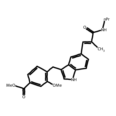 CCCNC(=O)/C(C)=C/c1ccc2[nH]cc(Cc3ccc(C(=O)OC)cc3OC)c2c1